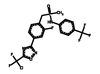 CP(=O)(Cc1ccc(-c2noc(C(F)(F)Cl)n2)cc1F)Nc1ccc(C(F)(F)F)cc1